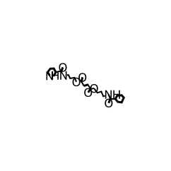 O=C(/C=C/C(=O)OCCCNC(=O)c1cccnc1)OCCCNC(=O)c1ccccc1